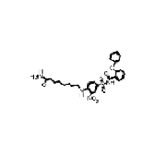 O=C(CCCCCCCNc1ccc(S(=O)(=O)NC(=O)c2ccccc2Oc2ccccc2)cc1[N+](=O)[O-])NO